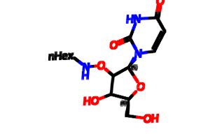 CCCCCCNOC1C(O)[C@H](CO)O[C@@H]1n1ccc(=O)[nH]c1=O